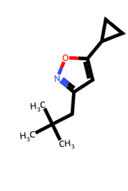 CC(C)(C)Cc1cc(C2CC2)on1